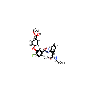 COc1cc(F)c(OC2CCC(C(=O)OC(C)(C)C)CC2)cc1C(=O)NC1C2CCC(C2)C1C(=O)NCC(C)(C)C